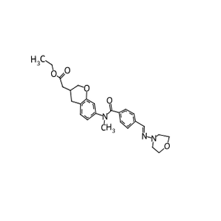 CCOC(=O)CC1COc2cc(N(C)C(=O)c3ccc(C=NN4CCOCC4)cc3)ccc2C1